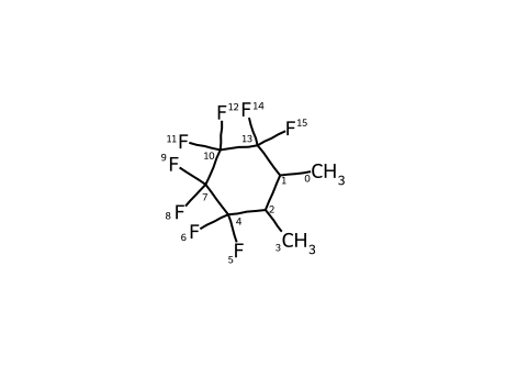 CC1C(C)C(F)(F)C(F)(F)C(F)(F)C1(F)F